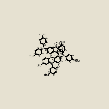 Cn1c2ccccc2c2c(N3c4ccc(C(C)(C)C)cc4B4c5cc(C(C)(C)C)ccc5Oc5cc(N(c6ccc(C(C)(C)C)cc6)c6ccc(C(C)(C)C)cc6)cc3c54)cc(N(c3ccc(C(C)(C)C)cc3)c3ccc(C(C)(C)C)cc3)cc21